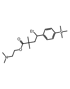 CCC(CC(C)(C)C(=O)OCCN(C)C)c1ccc([Si](C)(C)C)cc1